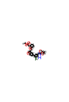 CCOC(=O)Cc1ccccc1OCc1coc2ccc(-c3cc(F)cc(CNC(=O)OC(C)(C)C)c3)cc12